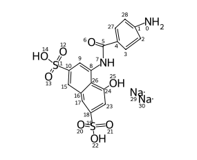 Nc1ccc(C(=O)Nc2cc(S(=O)(=O)O)cc3cc(S(=O)(=O)O)cc(O)c23)cc1.[Na].[Na]